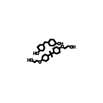 CC(C)(C1CCC(OCCO)CC1)C1CCC(OCCO)CC1.OC1CCC(CC2CCC(O)CC2)CC1